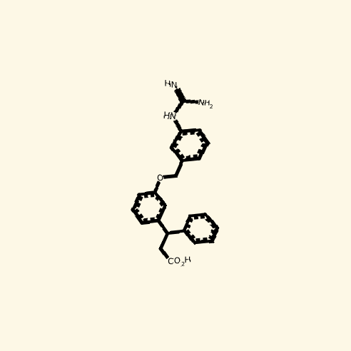 N=C(N)Nc1cccc(COc2cccc(C(CC(=O)O)c3ccccc3)c2)c1